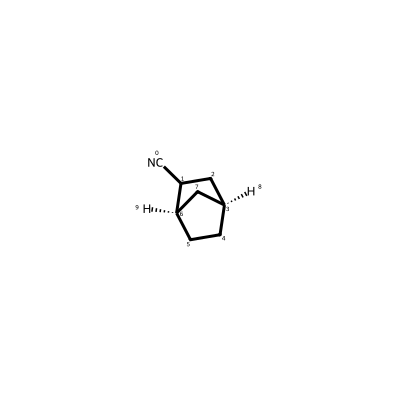 N#CC1C[C@H]2CC[C@@H]1C2